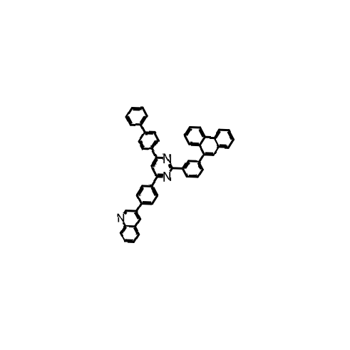 c1ccc(-c2ccc(-c3cc(-c4ccc(-c5cnc6ccccc6c5)cc4)nc(-c4cccc(-c5cc6ccccc6c6ccccc56)c4)n3)cc2)cc1